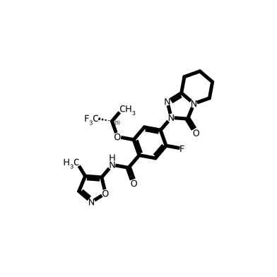 Cc1cnoc1NC(=O)c1cc(F)c(-n2nc3n(c2=O)CCCC3)cc1O[C@@H](C)C(F)(F)F